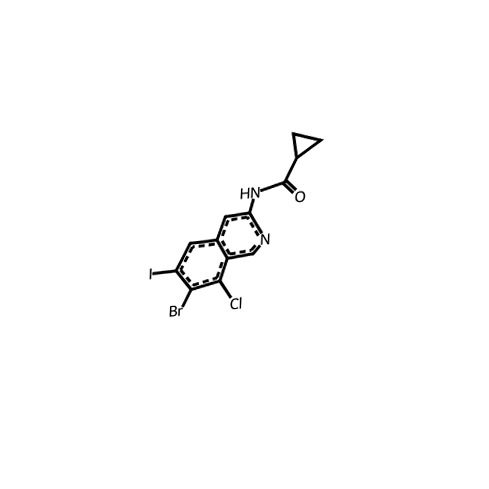 O=C(Nc1cc2cc(I)c(Br)c(Cl)c2cn1)C1CC1